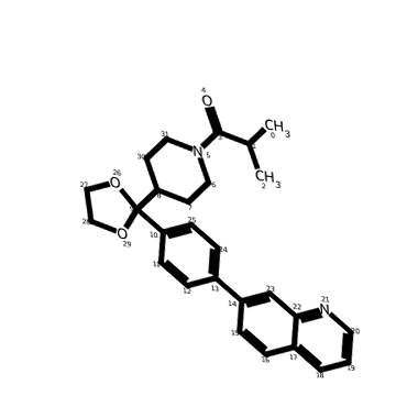 CC(C)C(=O)N1CCC(C2(c3ccc(-c4ccc5cccnc5c4)cc3)OCCO2)CC1